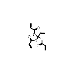 C=CC(=O)OC(C=C)(OC(=O)C=C)OC(=O)C=C